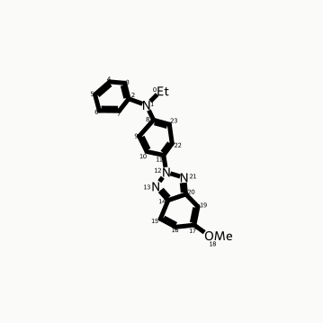 CCN(c1ccccc1)c1ccc(-n2nc3ccc(OC)cc3n2)cc1